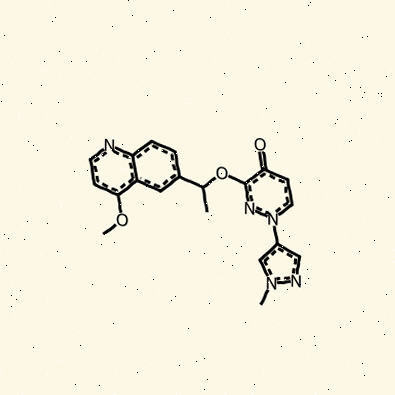 COc1ccnc2ccc(C(C)Oc3nn(-c4cnn(C)c4)ccc3=O)cc12